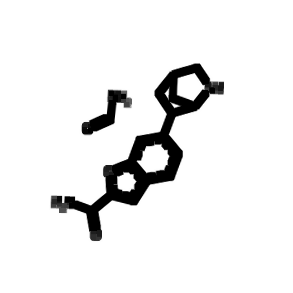 NC(=O)c1cc2ccc(C3CC4CNC3C4)cc2o1.NC=O